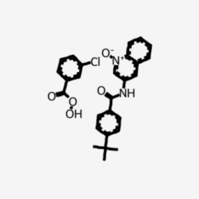 CC(C)(C)c1ccc(C(=O)Nc2cc3ccccc3[n+]([O-])c2)cc1.O=C(OO)c1cccc(Cl)c1